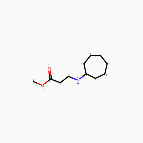 COC(=O)CCNC1CCCCCC1